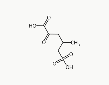 CC(CC(=O)C(=O)O)CS(=O)(=O)O